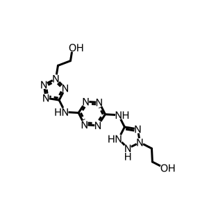 OCCN1N=C(Nc2nnc(Nc3nnn(CCO)n3)nn2)NN1